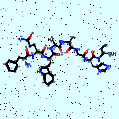 CC(C)C[C@H](NC(=O)[C@H](Cc1c[nH]cn1)NC(=O)CNC(=O)[C@@H](NC(=O)[C@H](C)NC(=O)[C@H](Cc1c[nH]c2ccccc12)NC(=O)[C@H](CCC(N)=O)NC(=O)[C@H](N)Cc1ccccc1)C(C)C)C(=O)O